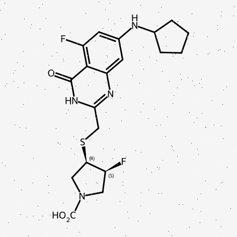 O=C(O)N1C[C@H](F)[C@H](SCc2nc3cc(NC4CCCC4)cc(F)c3c(=O)[nH]2)C1